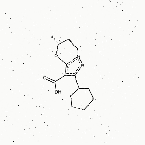 C[C@@H]1CCn2nc(C3CCCCC3)c(C(=O)O)c2O1